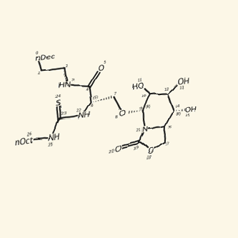 CCCCCCCCCCCCNC(=O)[C@H](CO[C@@H]1C(O)C(O)[C@H](O)C2COC(=O)N21)NC(=S)NCCCCCCCC